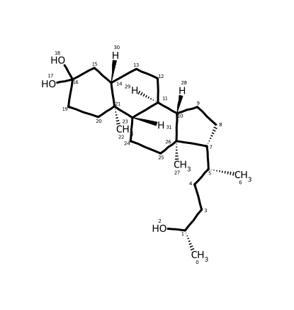 C[C@H](O)CC[C@@H](C)[C@H]1CC[C@H]2[C@@H]3CC[C@H]4CC(O)(O)CC[C@]4(C)[C@H]3CC[C@]12C